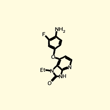 CCn1c(=O)[nH]c2nccc(Oc3ccc(N)c(F)c3)c21